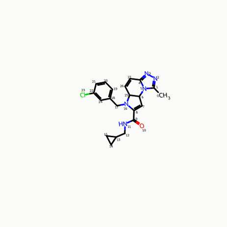 Cc1nnc2n1C1C=C(C(=O)NCC3CC3)N(Cc3cccc(Cl)c3)C1C=C2